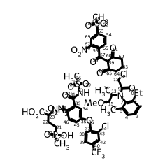 CCc1cccc(C)c1N(C(=O)CCl)C(C)COC.CP(=O)(O)CCC(N)C(=O)O.CS(=O)(=O)NC(=O)c1cc(Oc2ccc(C(F)(F)F)cc2Cl)ccc1[N+](=O)[O-].CS(=O)(=O)c1ccc(C(=O)C2C(=O)CCCC2=O)c([N+](=O)[O-])c1